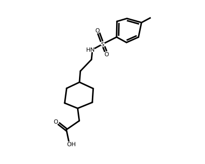 Cc1ccc(S(=O)(=O)NCCC2CCC(CC(=O)O)CC2)cc1